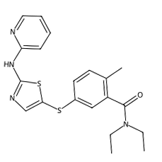 CCN(CC)C(=O)c1cc(Sc2cnc(Nc3ccccn3)s2)ccc1C